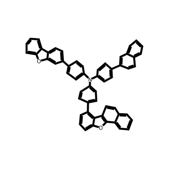 c1ccc2cc(-c3ccc(N(c4ccc(-c5ccc6c(c5)oc5ccccc56)cc4)c4ccc(-c5cccc6oc7c8ccccc8ccc7c56)cc4)cc3)ccc2c1